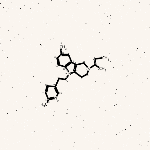 CCC(C)N1CCc2c(c3cc(C)ccc3n2CCc2ccc(C)nc2)C1